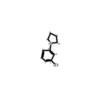 CCc1cc[c]c(N2CCCC2)c1